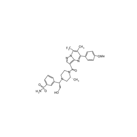 COc1ccc(-c2nc3c(C(=O)N4CCN([C@@H](CO)c5cccc(S(N)(=O)=O)c5)C[C@H]4C)cnn3c(C(F)(F)F)c2C)cc1